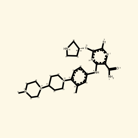 CCc1nc(C(N)=O)c(Nc2ccc(N3CCC(N4CCN(C)CC4)CC3)c(C)c2)nc1O[C@@H]1CCNC1